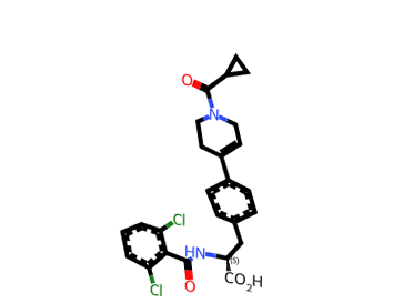 O=C(N[C@@H](Cc1ccc(C2=CCN(C(=O)C3CC3)CC2)cc1)C(=O)O)c1c(Cl)cccc1Cl